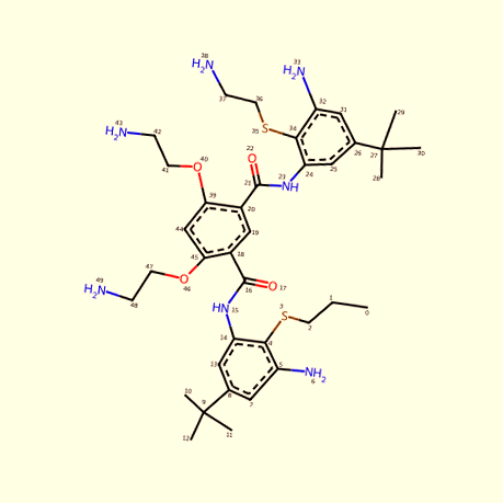 CCCSc1c(N)cc(C(C)(C)C)cc1NC(=O)c1cc(C(=O)Nc2cc(C(C)(C)C)cc(N)c2SCCN)c(OCCN)cc1OCCN